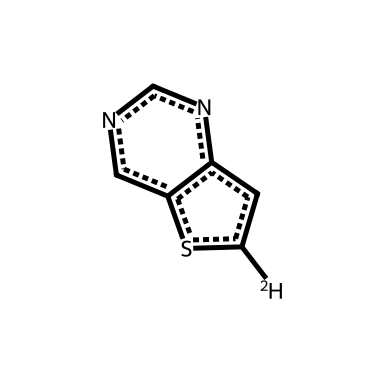 [2H]c1cc2ncncc2s1